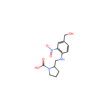 O=C(O)N1CCCC1CNc1ccc(CO)cc1[N+](=O)[O-]